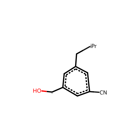 CC(C)Cc1cc(C#N)cc([CH]O)c1